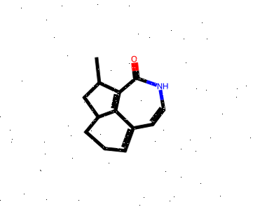 CC1CC2CCC=C3C=CNC(=O)C1=C32